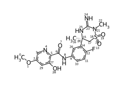 COc1cnc(C(=O)Nc2ccc(F)c([C@]3(C)CS(=O)(=O)N(C)C(=N)N3)c2)c(O)c1